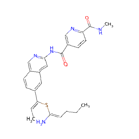 C/C=C(\S/C(N)=C\CCC)c1ccc2cnc(NC(=O)c3ccc(C(=O)NC)nc3)cc2c1